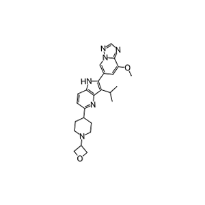 COc1cc(-c2[nH]c3ccc(C4CCN(C5COC5)CC4)nc3c2C(C)C)cn2ncnc12